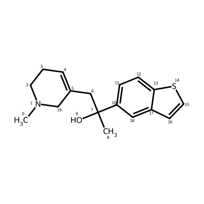 CN1CCC=C(CC(C)(O)c2ccc3sccc3c2)C1